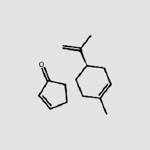 C=C(C)[C@H]1CC=C(C)CC1.O=C1C=CCC1